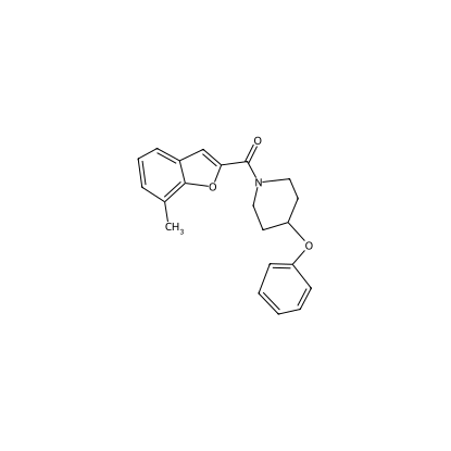 Cc1cccc2cc(C(=O)N3CCC(Oc4ccccc4)CC3)oc12